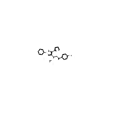 COc1ccc(C(=O)CC(SC(C)C)c2cn(-c3ccccc3)nc2-c2cccs2)cc1